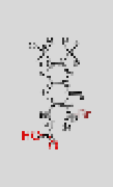 C=C(c1cc2c(cc1C)C(C)(C)CCC2(C)C)c1ccc(C(=O)O)cc1Br